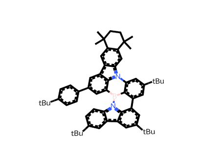 CC(C)(C)c1ccc(-c2cc3c4c(c2)c2cc5c(cc2n4-c2cc(C(C)(C)C)cc4c2B3n2c3ccc(C(C)(C)C)cc3c3cc(C(C)(C)C)cc-4c32)C(C)(C)CCC5(C)C)cc1